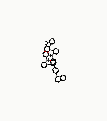 c1ccc(N(c2ccc(-c3ccc(-c4cccc5ccccc45)cc3)cc2)c2ccccc2-n2c3ccccc3c3ccccc32)c(-c2cccc3oc4ccccc4c23)c1